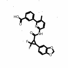 Cc1ccc(NC(=O)C2C(c3ccc4c(c3)OCO4)C2(F)F)nc1-c1cccc(C(=O)O)c1